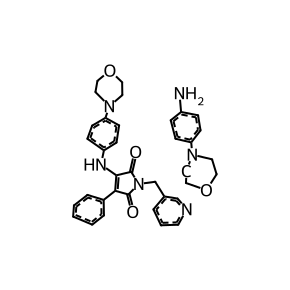 Nc1ccc(N2CCOCC2)cc1.O=C1C(Nc2ccc(N3CCOCC3)cc2)=C(c2ccccc2)C(=O)N1Cc1cccnc1